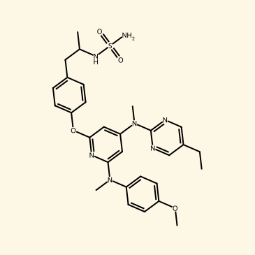 CCc1cnc(N(C)c2cc(Oc3ccc(CC(C)NS(N)(=O)=O)cc3)nc(N(C)c3ccc(OC)cc3)c2)nc1